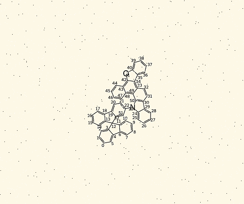 c1ccc2c(c1)-c1ccccc1C21c2ccccc2-c2ccc(-n3c4ccccc4c4ccc5c6c7ccccc7oc6c6ccccc6c5c43)cc21